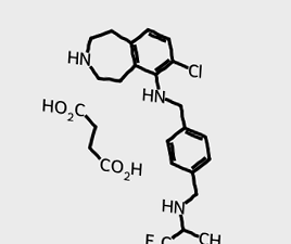 CC(NCc1ccc(CNc2c(Cl)ccc3c2CCNCC3)cc1)C(F)(F)F.O=C(O)CCC(=O)O